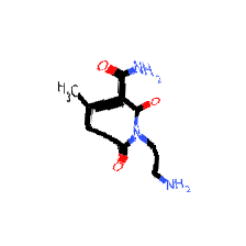 CC1=C(C(N)=O)C(=O)N(CCN)C(=O)C1